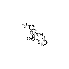 CN(Cc1ccc(C(F)(F)F)cc1)C(=O)N1C(=O)C[C@@H]1CSc1ncccn1